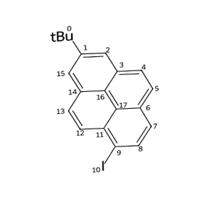 CC(C)(C)c1cc2ccc3ccc(I)c4ccc(c1)c2c34